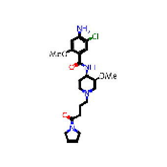 COc1cc(N)c(Cl)cc1C(=O)N[C@@H]1CCN(CCCC(=O)N2CCCC2)C[C@@H]1OC